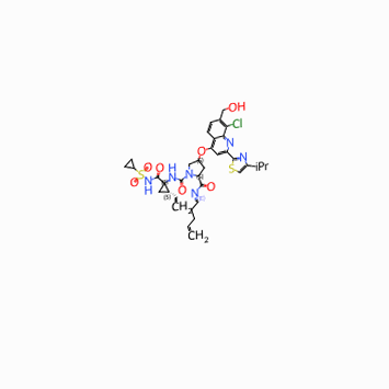 C=CCC/C=N/C(=O)[C@@H]1C[C@H](Oc2cc(-c3nc(C(C)C)cs3)nc3c(Cl)c(CO)ccc23)CN1C(=O)N[C@]1(C(=O)NS(=O)(=O)C2CC2)C[C@H]1C=C